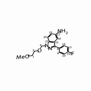 COCCOCn1nc(-c2ccc(F)cc2)c2cc(N)ccc21